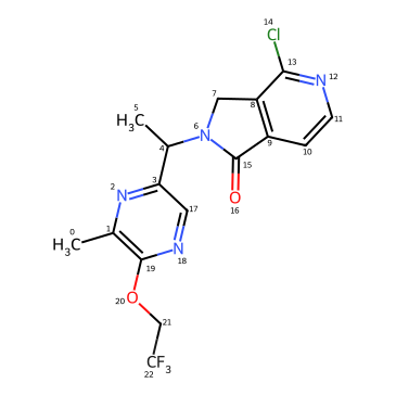 Cc1nc(C(C)N2Cc3c(ccnc3Cl)C2=O)cnc1OCC(F)(F)F